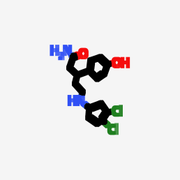 NC(=O)CC(CCNc1ccc(Cl)c(Cl)c1)c1ccc(O)cc1